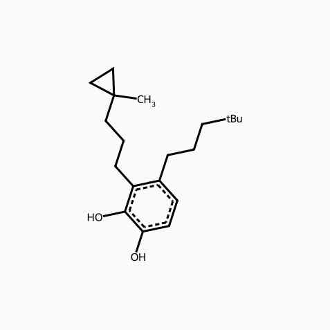 CC(C)(C)CCCc1ccc(O)c(O)c1CCCC1(C)CC1